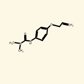 C=CCOc1ccc(NC(=O)N(C)C)cc1